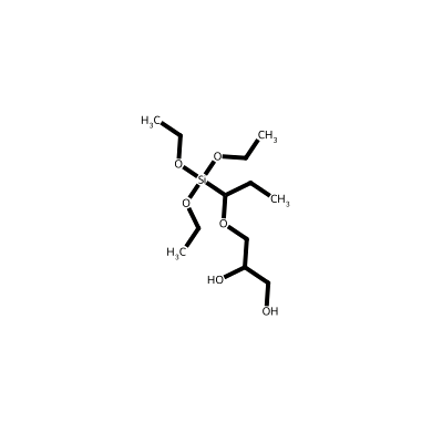 CCO[Si](OCC)(OCC)C(CC)OCC(O)CO